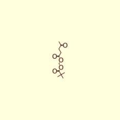 CC(=O)CCC(=O)OCOC(=O)C(C)(C)C